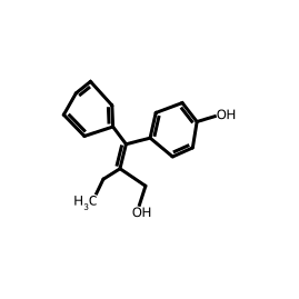 CC/C(CO)=C(\c1ccccc1)c1ccc(O)cc1